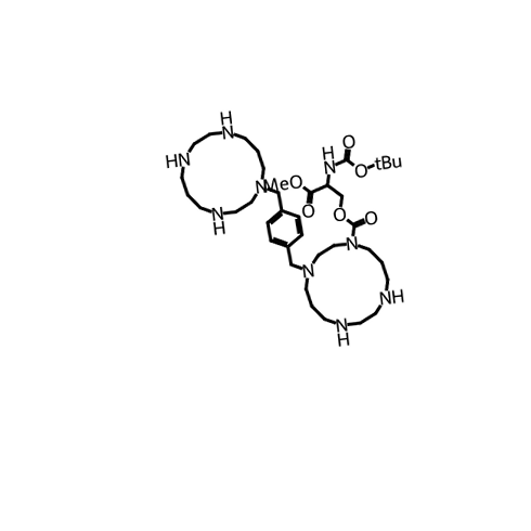 COC(=O)C(COC(=O)N1CCCNCCNCCCN(Cc2ccc(CN3CCCNCCNCCCNCC3)cc2)CC1)NC(=O)OC(C)(C)C